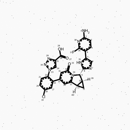 Nc1ccc(-c2cnc([C@@H]3[C@H]4C[C@H]4c4cc(-c5cc(Cl)ccc5-n5cc(C(=O)O)nn5)cc(=O)n43)[nH]2)c(F)n1